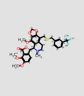 COc1ccc2c(c1OC)C(=O)O[C@@H]2[C@H]1c2c(c(CSCc3cccc(C(F)(F)F)c3)c3c(c2OC)OCO3)CCN1C